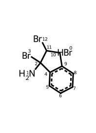 Br.NC1(Br)c2ccccc2CC1Br